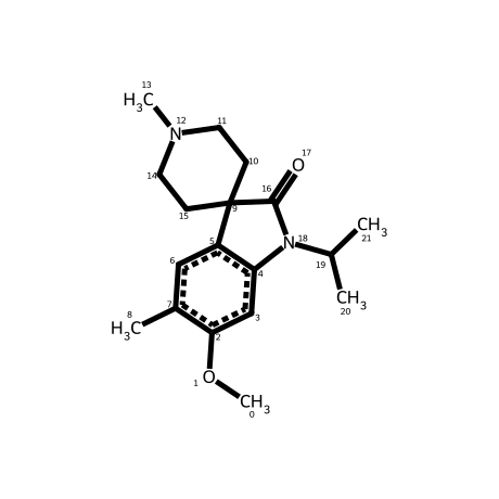 COc1cc2c(cc1C)C1(CCN(C)CC1)C(=O)N2C(C)C